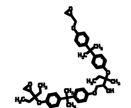 CCC(C)(Oc1ccc(C(C)(C)c2ccc(OCC3CO3)cc2)cc1)C(O)COc1ccc(C(C)(C)c2ccc(OC(CC)(CC)C3CO3)cc2)cc1